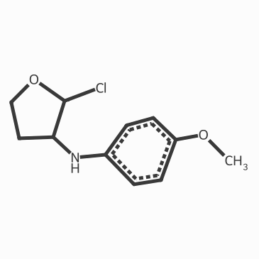 COc1ccc(NC2CCO[C]2Cl)cc1